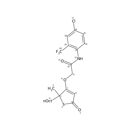 CCCCCCCCC1(C)SC(=O)C=C1OCC(=O)Nc1ccc(Cl)cc1C(F)(F)F